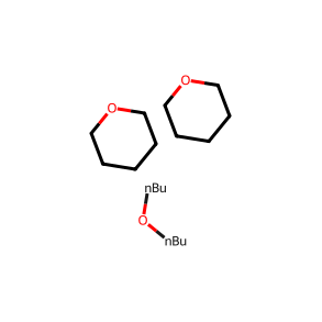 C1CCOCC1.C1CCOCC1.CCCCOCCCC